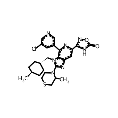 CC1CSCCN1c1nc2cc(-c3noc(=O)[nH]3)nc(-c3cncc(Cl)c3)c2n1C[C@H]1CC[C@H](C)CC1